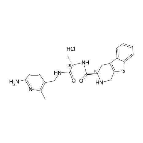 Cc1nc(N)ccc1CNC(=O)[C@H](C)NC(=O)[C@H]1Cc2c(sc3ccccc23)CN1.Cl